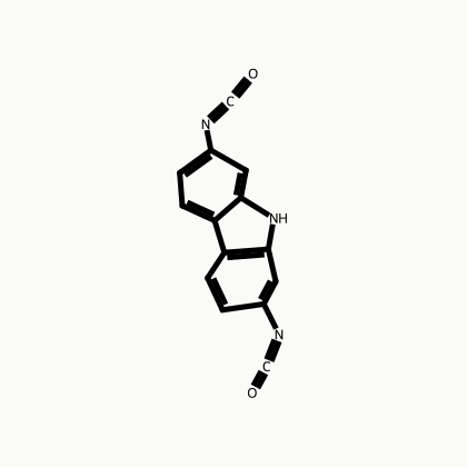 O=C=Nc1ccc2c(c1)[nH]c1cc(N=C=O)ccc12